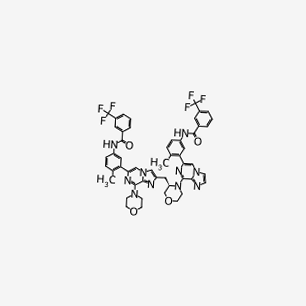 Cc1ccc(NC(=O)c2cccc(C(F)(F)F)c2)cc1-c1cn2cc(C[C@@H]3COCCN3c3nc(-c4cc(NC(=O)c5cccc(C(F)(F)F)c5)ccc4C)cn4ccnc34)nc2c(N2CCOCC2)n1